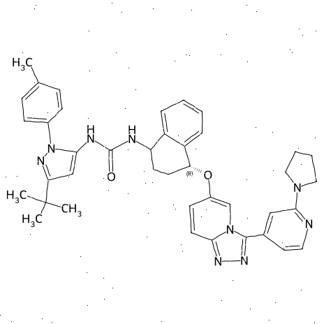 Cc1ccc(-n2nc(C(C)(C)C)cc2NC(=O)NC2CC[C@@H](Oc3ccc4nnc(-c5ccnc(N6CCCC6)c5)n4c3)c3ccccc32)cc1